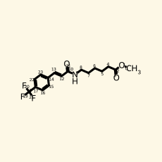 COC(=O)CCCCCNC(=O)C=Cc1ccc(C(F)(F)F)cc1